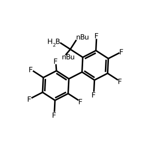 BC(CCCC)(CCCC)c1c(F)c(F)c(F)c(F)c1-c1c(F)c(F)c(F)c(F)c1F